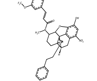 CN(C(=O)/C=C/c1cccc(OC(F)(F)F)c1)C1CC[C@@]2(O)[C@H]3Cc4c([N+](=O)[O-])cc(O)c5c4[C@@]2(CCN3CCc2ccccc2)C1O5